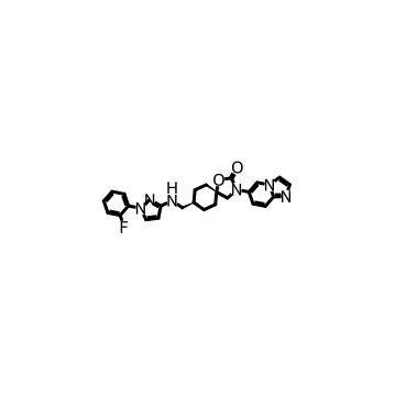 O=C1O[C@]2(CC[C@H](CNc3ccn(-c4ccccc4F)n3)CC2)CN1c1ccc2nccn2c1